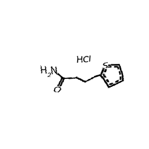 Cl.NC(=O)CCc1cccs1